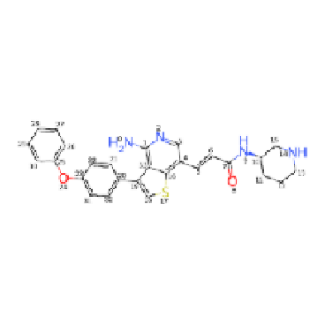 Nc1ncc(/C=C/C(=O)N[C@@H]2CCCNC2)c2scc(-c3ccc(Oc4ccccc4)cc3)c12